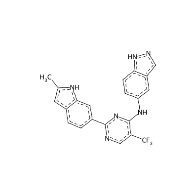 Cc1cc2ccc(-c3ncc(C(F)(F)F)c(Nc4ccc5[nH]ncc5c4)n3)cc2[nH]1